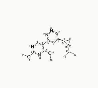 COc1ncc(-c2cc([C@H]3C[C@@H]3C(C)C)[c]nn2)c(OC)n1